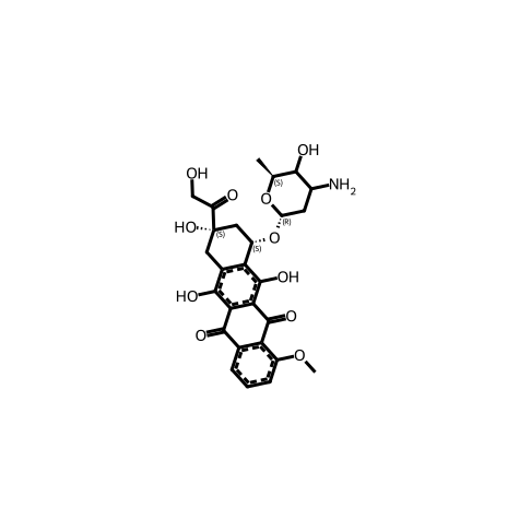 COc1cccc2c1C(=O)c1c(O)c3c(c(O)c1C2=O)C[C@@](O)(C(=O)CO)C[C@@H]3O[C@H]1CC(N)C(O)[C@H](C)O1